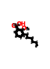 CCCCCCc1cccc(C(=O)O)c1OC